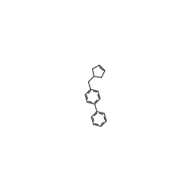 C1=CCC(Cc2ccc(-c3ccccc3)cc2)C1